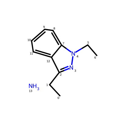 CCc1nn(CC)c2ccccc12.N